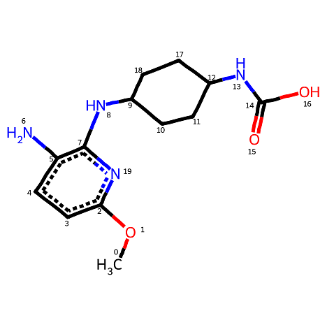 COc1ccc(N)c(NC2CCC(NC(=O)O)CC2)n1